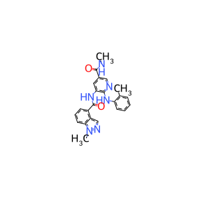 CNC(=O)c1cnc(Nc2ccccc2C)c(NC(=O)c2cccc3c2cnn3C)c1